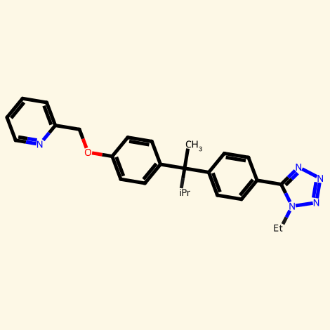 CCn1nnnc1-c1ccc(C(C)(c2ccc(OCc3ccccn3)cc2)C(C)C)cc1